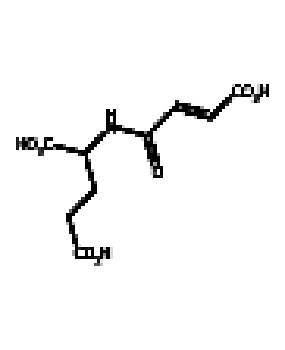 O=C(O)C=CC(=O)NC(CCC(=O)O)C(=O)O